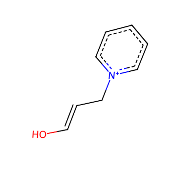 O/C=C/C[n+]1ccccc1